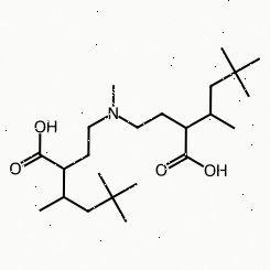 CC(CC(C)(C)C)C(CCN(C)CCC(C(=O)O)C(C)CC(C)(C)C)C(=O)O